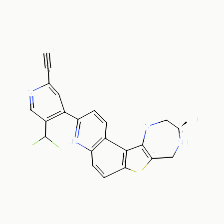 C#Cc1cc(-c2ccc3c(ccc4sc5c(c43)NC[C@@H](C)NC5)n2)c(C(F)F)cn1